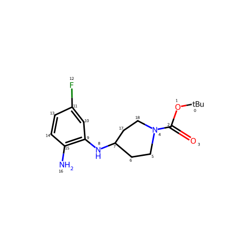 CC(C)(C)OC(=O)N1CCC(Nc2cc(F)ccc2N)CC1